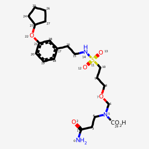 NC(=O)CCN(COCCCS(=O)(=O)NCCc1cccc(OC2CCCC2)c1)C(=O)O